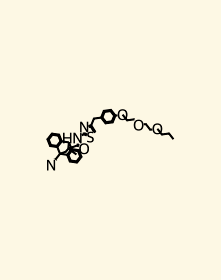 CCCOCCOCCOc1ccc(Cc2csc(NC(=O)C3(C)CC4(C#N)c5ccccc5C3c3ccccc34)n2)cc1